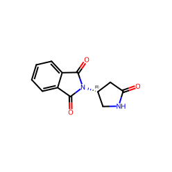 O=C1C[C@@H](N2C(=O)c3ccccc3C2=O)CN1